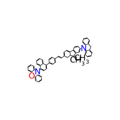 CC1(C)c2cc(N3c4ccccc4Cc4ccccc43)ccc2C2=CC=C(/C=C/c3ccc(-c4ccc(N5c6ccccc6Oc6ccccc65)c5ccccc45)cc3)CC21